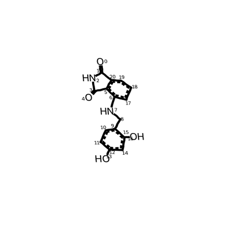 O=C1NC(=O)c2c(NCc3ccc(O)cc3O)cccc21